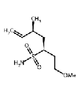 C=C[C@@H](C)C[C@@H](CCOC)S(N)(=O)=O